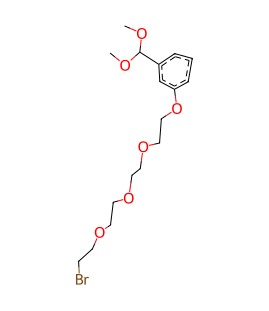 COC(OC)c1cccc(OCCOCCOCCOCCBr)c1